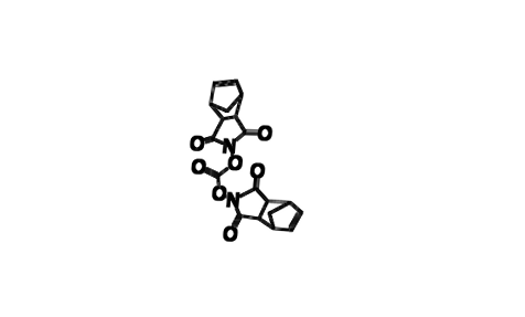 O=C(ON1C(=O)C2C3C=CC(C3)C2C1=O)ON1C(=O)C2C3C=CC(C3)C2C1=O